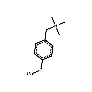 CC(C)(C)Oc1ccc(C[N+](C)(C)C)cc1